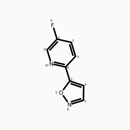 Fc1ccc(-c2c[c]no2)nc1